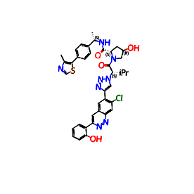 Cc1ncsc1-c1ccc([C@H](C)NC(=O)[C@@H]2C[C@@H](O)CN2C(=O)[C@H](C(C)C)n2cc(-c3cc4cc(-c5ccccc5O)nnc4cc3Cl)nn2)cc1